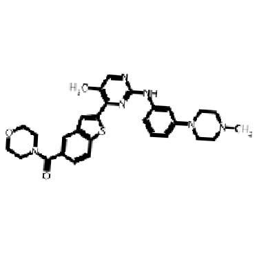 Cc1cnc(Nc2cccc(N3CCN(C)CC3)c2)nc1-c1cc2cc(C(=O)N3CCOCC3)ccc2s1